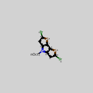 CCCCCCCCn1c2cc(Br)sc2c2sc(Br)cc21